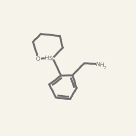 NCc1ccccc1[SiH]1CCCCO1